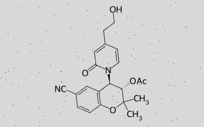 CC(=O)O[C@H]1[C@H](n2ccc(CCO)cc2=O)c2cc(C#N)ccc2OC1(C)C